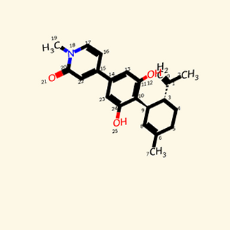 C=C(C)[C@@H]1CCC(C)=C[C@H]1c1c(O)cc(-c2ccn(C)c(=O)c2)cc1O